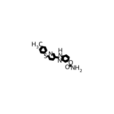 Cc1ccc(Sc2ccc(-c3nc4cc(OC(N)=O)ccc4[nH]3)cn2)cc1